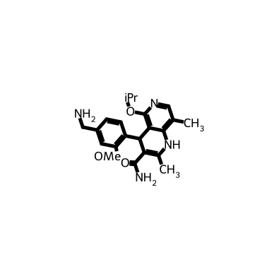 COc1cc(CN)ccc1C1C(C(N)=O)=C(C)Nc2c(C)cnc(OC(C)C)c21